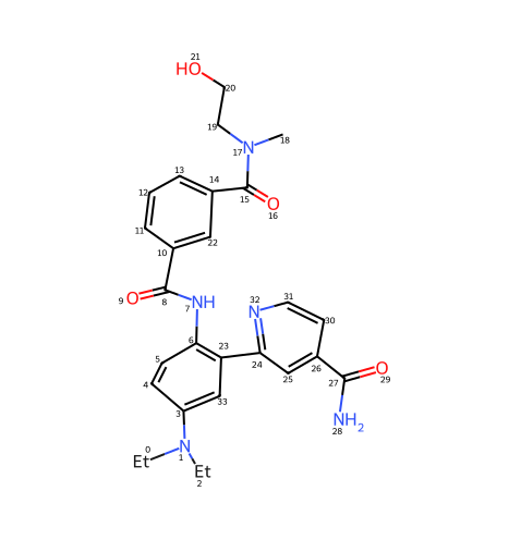 CCN(CC)c1ccc(NC(=O)c2cccc(C(=O)N(C)CCO)c2)c(-c2cc(C(N)=O)ccn2)c1